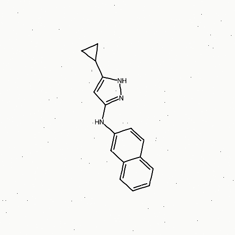 c1ccc2cc(Nc3cc(C4CC4)[nH]n3)ccc2c1